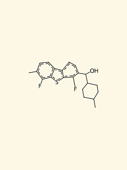 Cc1ccc2c(sc3c(F)c(C(O)C4CCC(C)CC4)ccc32)c1F